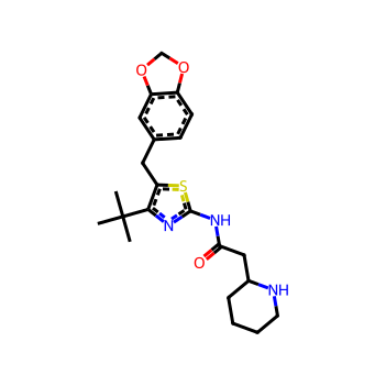 CC(C)(C)c1nc(NC(=O)CC2CCCCN2)sc1Cc1ccc2c(c1)OCO2